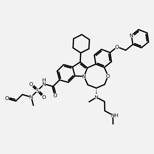 CNCCN(C)[C@H]1COc2cc(OCc3ccccn3)ccc2-c2c(C3CCCCC3)c3ccc(C(=O)NS(=O)(=O)N(C)CC=O)cc3n2C1